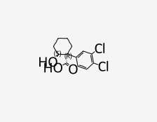 O=C(O)[C@@]1(c2ccc(Cl)c(Cl)c2)CCCC[C@@H]1O